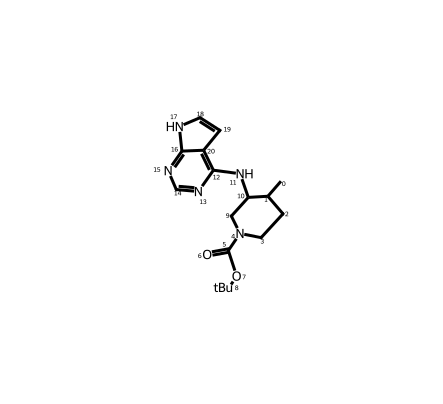 CC1CCN(C(=O)OC(C)(C)C)CC1Nc1ncnc2[nH]ccc12